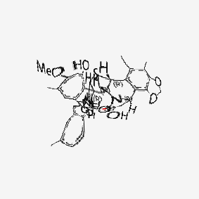 COc1c(C)cc2c(c1O)[C@@H]1[C@@H]3[C@@H]4SC[C@]5(NCCc6c5oc5ccc(C)cc65)C(=O)OC[C@@H](c5c6c(c(C)c(C)c54)OCO6)N3[C@@H](O)[C@H](C2)N1C